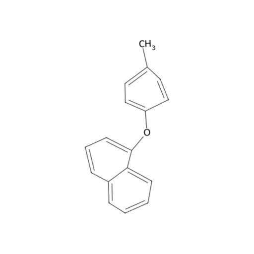 Cc1ccc(Oc2cccc3ccccc23)cc1